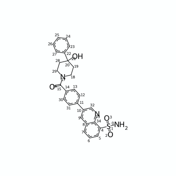 NS(=O)(=O)c1cccc2cc(-c3ccc(C(=O)N4CCC(O)(c5ccccc5)CC4)cc3)cnc12